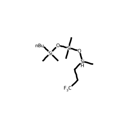 CCCC[Si](C)(C)O[Si](C)(C)O[SiH](C)CCC(F)(F)F